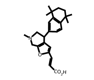 CN1Cc2oc(C=CC(=O)O)cc2C(c2ccc3c(c2)C(C)(C)CCC3(C)C)C1